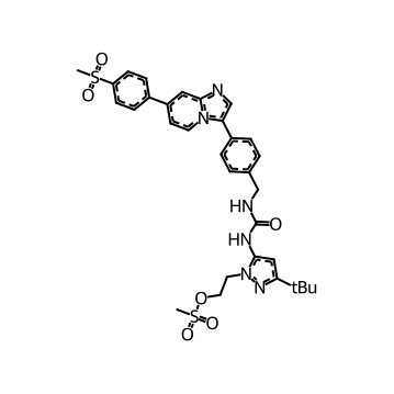 CC(C)(C)c1cc(NC(=O)NCc2ccc(-c3cnc4cc(-c5ccc(S(C)(=O)=O)cc5)ccn34)cc2)n(CCOS(C)(=O)=O)n1